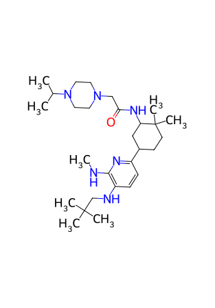 CNc1nc(C2CCC(C)(C)C(NC(=O)CN3CCN(C(C)C)CC3)C2)ccc1NCC(C)(C)C